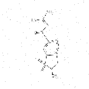 CC1Cc2ccc(C(=O)N=C(N)N)cc2S1(=O)=O